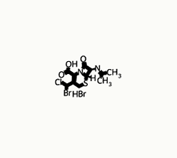 Br.CC(C)=N[C@@H]1C(=O)N2C(C(=O)O)=C(C(Cl)Br)CS[C@@H]12